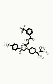 Cc1ccc(S(=O)(=O)CN(C(=O)CNC(=O)c2cccc(C(F)(F)F)c2)C2CCC(N(C)C(C)C)CC2)cc1